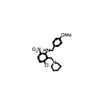 COc1ccc(CNc2c([N+](=O)[O-])ccc(Cl)c2CN2CCCCC2)cc1